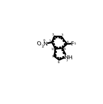 O=[N+]([O-])c1ccc(F)c2[nH]ccc12